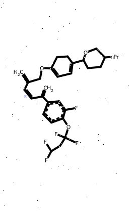 C=C(/C=C\C(=C)c1ccc(OC(F)(F)CC(F)F)c(F)c1)COC1=CC=C(C2CCC(CCC)CO2)CC1